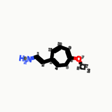 N/C=C/C1=CCC(OC(F)(F)F)=CC=C1